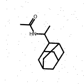 CC(=O)NC(C)C1C2CC3CC(C2)CC1C3